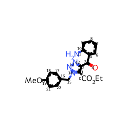 CCOC(=O)c1c(C(=O)c2ccccc2N)nnn1Cc1ccc(OC)cc1